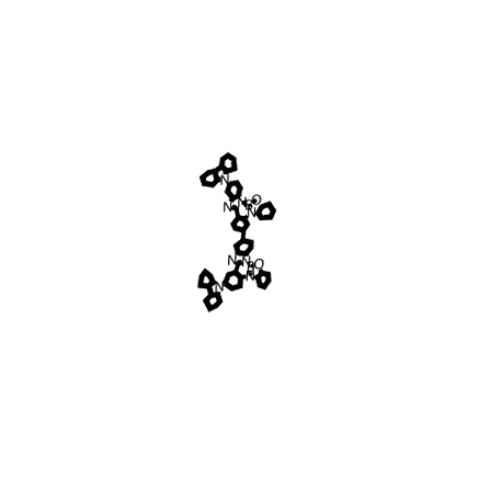 c1ccc2c(c1)OB1N2c2ccc(-n3c4ccccc4c4ccccc43)cc2-c2nc3cc(-c4ccc5c(c4)N4B(Oc6ccccc64)n4c-5nc5cc(-n6c7ccccc7c7ccccc76)ccc54)ccc3n21